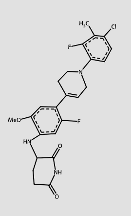 COc1cc(C2=CCN(c3ccc(Cl)c(C)c3F)CC2)c(F)cc1NC1CCC(=O)NC1=O